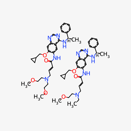 CCN(CC=CC(=O)Nc1cc2c(N[C@H](C)c3ccccc3)ncnc2cc1OCC1CC1)CCOC.COCCN(CC=CC(=O)Nc1cc2c(N[C@H](C)c3ccccc3)ncnc2cc1OCC1CC1)CCOC